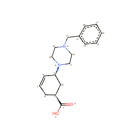 O=C(O)[C@H]1CC=C[C@@H](N2CCN(Cc3ccccc3)CC2)C1